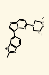 Cc1nc2ccc(-c3cnc4ccc(N5C[C@@H](C)O[C@@H](C)C5)nn34)cc2[nH]1